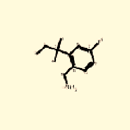 CCC(C)(C)c1cc(F)ccc1CN